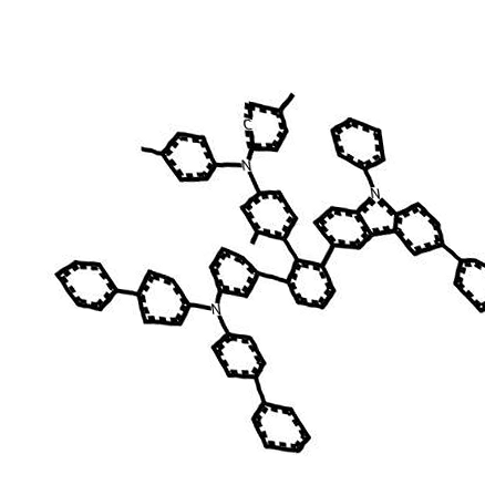 Cc1ccc(N(c2ccc(C)cc2)c2ccc(-c3c(-c4cccc(N(c5ccc(-c6ccccc6)cc5)c5ccc(-c6ccccc6)cc5)c4)cccc3-c3ccc4c(c3)c3cc(-c5ccccc5)ccc3n4-c3ccccc3)c(C)c2)cc1